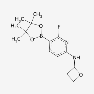 CC1(C)OB(c2ccc(NC3CCO3)nc2F)OC1(C)C